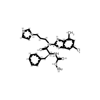 Cc1cc(Cl)cc2sc(N(CCCn3ccnc3)C(=O)[C@H](Cc3ccccc3)NC(=O)OC(C)(C)C)nc12